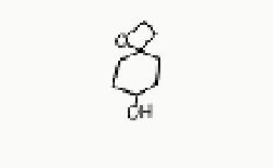 OC1CCC2(CCO2)CC1